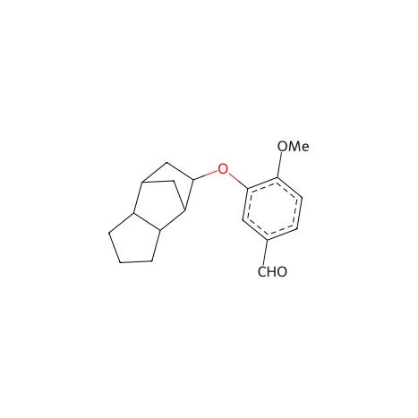 COc1ccc(C=O)cc1OC1CC2CC1C1CCCC21